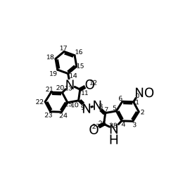 O=Nc1ccc2c(c1)/C(=N/N=C1\C(=O)N(c3ccccc3)c3ccccc31)C(=O)N2